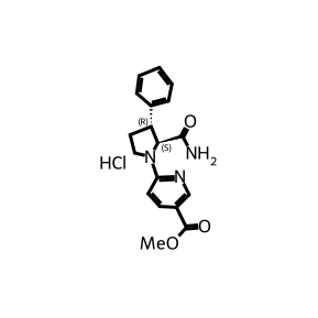 COC(=O)c1ccc(N2CC[C@H](c3ccccc3)[C@H]2C(N)=O)nc1.Cl